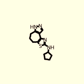 c1n[nH]c2c1-c1nc(NC3CCCC3)sc1CCC2